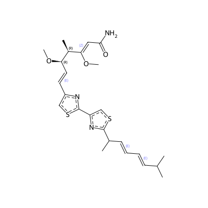 CO/C(=C\C(N)=O)[C@H](C)[C@@H](/C=C/c1csc(-c2csc(C(C)/C=C/C=C/C(C)C)n2)n1)OC